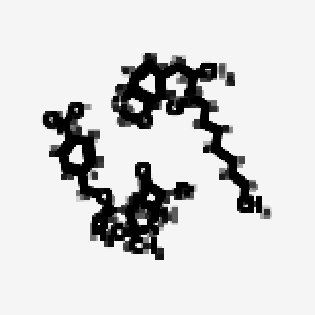 CC1(C)S[C@@H]2[C@@H](Br)C(=O)N2[C@H]1C(=O)OCc1ccc([N+](=O)[O-])cc1.CCCCCCCC[S+]([O-])C(C)Cc1ccc2c(c1)OCO2